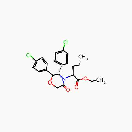 CCC[C@@H](C(=O)OCC)N1C(=O)COC(c2ccc(Cl)cc2)[C@@H]1c1ccc(Cl)cc1